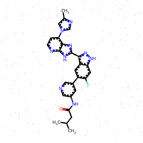 Cc1cn(-c2ccnc3[nH]c(-c4n[nH]c5cc(F)c(-c6cncc(NC(=O)CC(C)C)c6)cc45)nc23)cn1